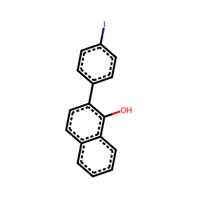 Oc1c(-c2ccc(I)cc2)ccc2ccccc12